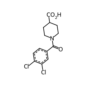 O=C(O)C1CCN(C(=O)c2ccc(Cl)c(Cl)c2)CC1